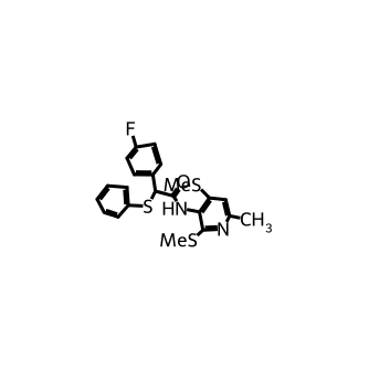 CSc1cc(C)nc(SC)c1NC(=O)C(Sc1ccccc1)c1ccc(F)cc1